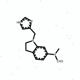 CN(C=O)c1ccc2c(c1)N(Cc1c[nH]cn1)CC2